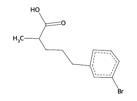 CC(CCCc1cccc(Br)c1)C(=O)O